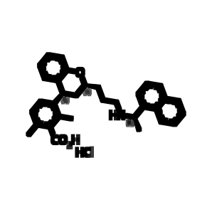 Cc1ccc([C@@H]2C[C@H](CCCN[C@H](C)c3cccc4ccccc34)Oc3ccccc32)c(C)c1C(=O)O.Cl